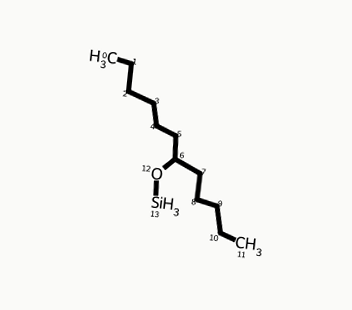 CCCCCCC(CCCCC)O[SiH3]